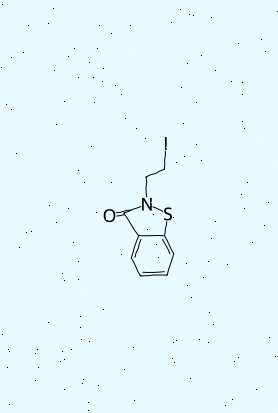 O=c1c2ccccc2sn1CCI